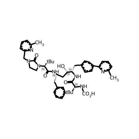 Cc1cccc(CN2CCN([C@H](C(=O)N[C@@H](Cc3ccccc3)C[C@H](O)[C@H](Cc3ccc(-c4cccc(C)n4)cc3)NC(=O)[C@@H](NC(=O)O)C(C)(C)C)C(C)(C)C)C2=O)n1